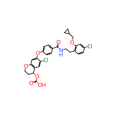 O=C(O)OC1CCOc2cc(Oc3ccc(C(=O)NCCc4ccc(Cl)cc4OCC4CC4)cc3)c(Cl)cc21